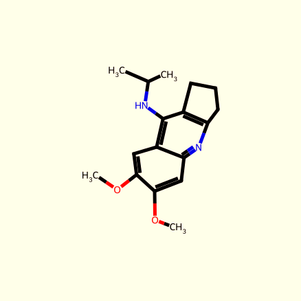 COc1cc2nc3c(c(NC(C)C)c2cc1OC)CCC3